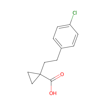 O=C(O)C1(CCc2ccc(Cl)cc2)CC1